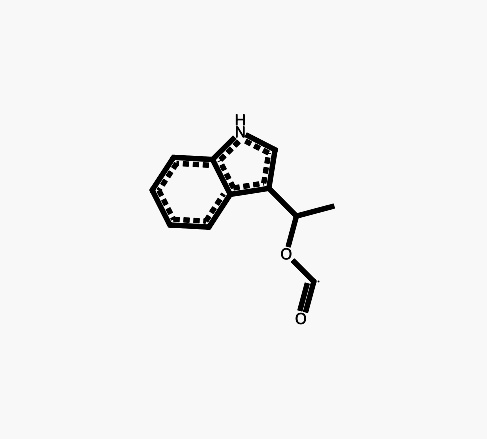 CC(O[C]=O)c1c[nH]c2ccccc12